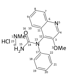 CNC.COc1cnc2ccccc2c1N(C(N)=O)c1ccccc1.Cl